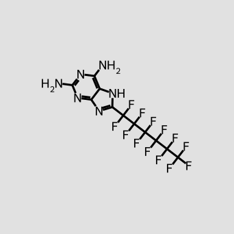 Nc1nc(N)c2[nH]c(C(F)(F)C(F)(F)C(F)(F)C(F)(F)C(F)(F)C(F)(F)F)nc2n1